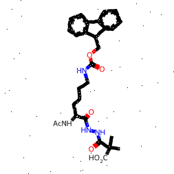 CC(=O)NC(CCCCNC(=O)OCC1c2ccccc2-c2ccccc21)C(=O)NNC(=O)C(C)(C)C(=O)O